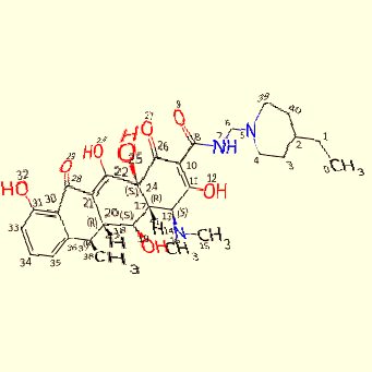 CCC1CCN(CNC(=O)C2=C(O)[C@@H](N(C)C)[C@@H]3[C@@H](O)[C@H]4C(=C(O)[C@]3(O)C2=O)C(=O)c2c(O)cccc2[C@@H]4C)CC1